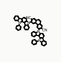 N#Cc1cc2ccc3cc(C#N)c(-n4c5ccccc5c5c4ccc4c6ccccc6n(-c6ccccc6)c45)cc3c2cc1-n1c2ccccc2c2c1ccc1c3ccccc3n(-c3ccccc3)c12